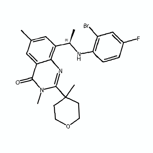 Cc1cc([C@@H](C)Nc2ccc(F)cc2Br)c2nc(C3(C)CCOCC3)n(C)c(=O)c2c1